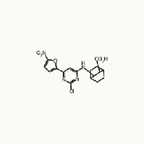 O=C(O)C1C2CCC(CC2)C1Nc1cc(-c2ccc([N+](=O)[O-])o2)nc(Cl)n1